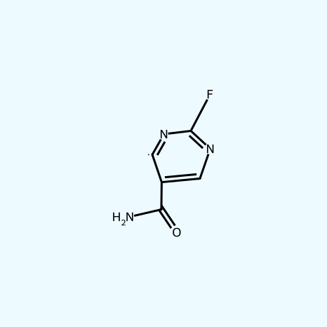 NC(=O)c1[c]nc(F)nc1